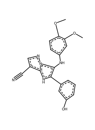 COc1ccc(Nc2c(-c3cccc(O)c3)[nH]c3c(C#N)cnn23)cc1OC